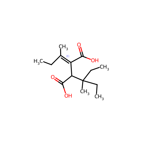 CC/C(C)=C(/C(=O)O)C(C(=O)O)C(C)(CC)CC